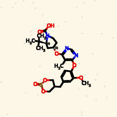 COc1cc(CC2COS(=O)OC2)ccc1Oc1ncnc(O[C@H]2CCN(C(=O)O)[C@H](C(C)(C)C)C2)c1C